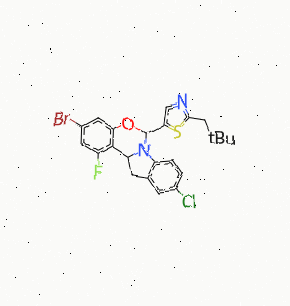 CC(C)(C)Cc1ncc(C2Oc3cc(Br)cc(F)c3C3Cc4cc(Cl)ccc4N32)s1